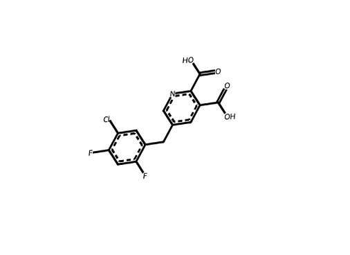 O=C(O)c1cc(Cc2cc(Cl)c(F)cc2F)cnc1C(=O)O